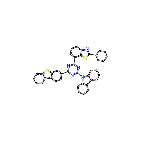 c1ccc(-c2nc3cccc(-c4nc(-c5ccc6c(c5)sc5ccccc56)nc(-n5c6ccccc6c6ccccc65)n4)c3s2)cc1